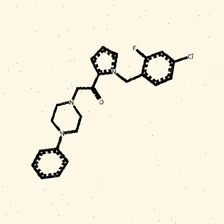 O=C(CN1CCN(c2ccccc2)CC1)c1cccn1Cc1ccc(Cl)cc1F